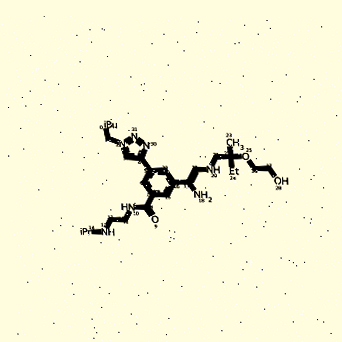 CCC(C)Cn1cc(-c2cc(C(=O)NCCNC(C)C)cc(/C(N)=C/NCC(C)(CC)OCCO)c2)nn1